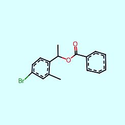 Cc1cc(Br)ccc1C(C)OC(=O)c1ccccc1